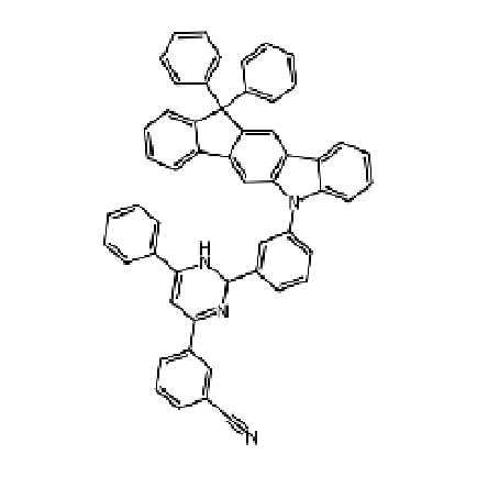 N#Cc1cccc(C2=NC(c3cccc(-n4c5ccccc5c5cc6c(cc54)-c4ccccc4C6(c4ccccc4)c4ccccc4)c3)NC(c3ccccc3)=C2)c1